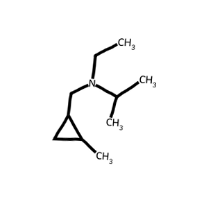 CCN(CC1CC1C)C(C)C